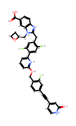 O=C(O)c1ccc2nc(Cc3cc(F)c(-c4cccc(OCc5ccc(C#Cc6cc[nH]c(=O)c6)cc5F)n4)cc3F)n(C[C@@H]3CCO3)c2c1